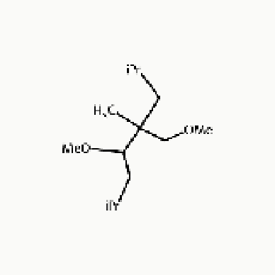 COCC(C)(CC(C)C)C(CC(C)C)OC